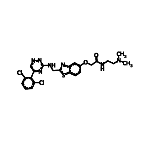 CN(C)CCNC(=O)COc1ccc2sc(CNc3nncc(-c4c(Cl)cccc4Cl)n3)nc2c1